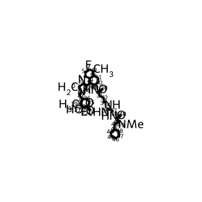 C=C1c2nc3cc(F)c(C)c4c3c(c2CN1CC1=C(C)[C@@](O)(CC)C(=O)OC1)[C@@H](NC(=O)CCCNC(=N)CNC(=O)[C@H](Cc1ccccc1)NC)CC4